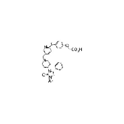 CC(=O)N1C[C@@H](c2ccccc2)N(C2CCN(Cc3ccc(Sc4ccc(OCC(=O)O)cc4)nc3)CC2)C1=O